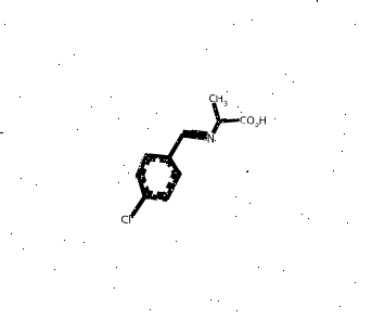 CC(N=Cc1ccc(Cl)cc1)C(=O)O